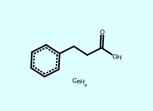 O=C(O)CCc1ccccc1.[GeH4]